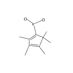 CC1=C(C)C(C)(C)[C]([Ir]([Cl])[Cl])=C1C